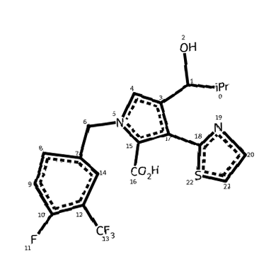 CC(C)C(O)c1cn(Cc2ccc(F)c(C(F)(F)F)c2)c(C(=O)O)c1-c1nccs1